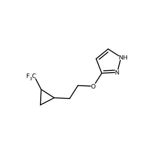 FC(F)(F)C1CC1CCOc1cc[nH]n1